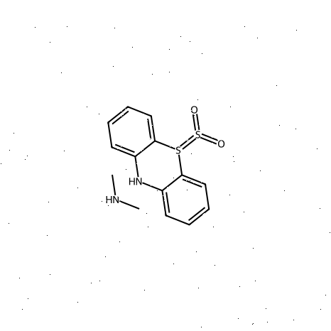 CNC.O=S(=O)=S1c2ccccc2Nc2ccccc21